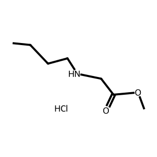 CCCCNCC(=O)OC.Cl